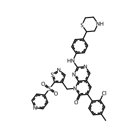 Cc1ccc(-c2cc3cnc(Nc4ccc(C5CNCCS5)cc4)nc3n(Cc3cnsc3S(=O)(=O)c3ccncc3)c2=O)c(Cl)c1